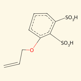 C=CCOc1cccc(S(=O)(=O)O)c1S(=O)(=O)O